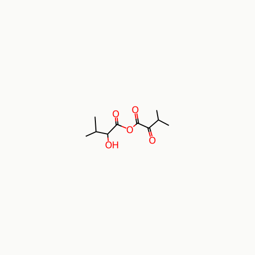 CC(C)C(=O)C(=O)OC(=O)C(O)C(C)C